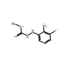 Cc1c(F)cccc1NNC(=O)OC(C)(C)C